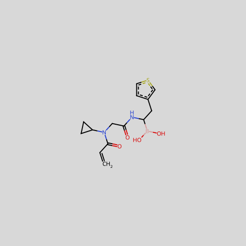 C=CC(=O)N(CC(=O)NC(Cc1ccsc1)B(O)O)C1CC1